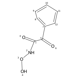 O=C(NOO)C(=O)c1ccccc1